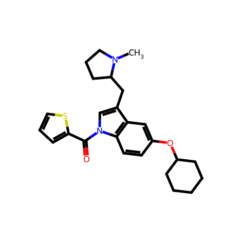 CN1CCCC1Cc1cn(C(=O)c2cccs2)c2ccc(OC3CCCCC3)cc12